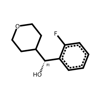 O[C@@H](c1ccccc1F)C1CCOCC1